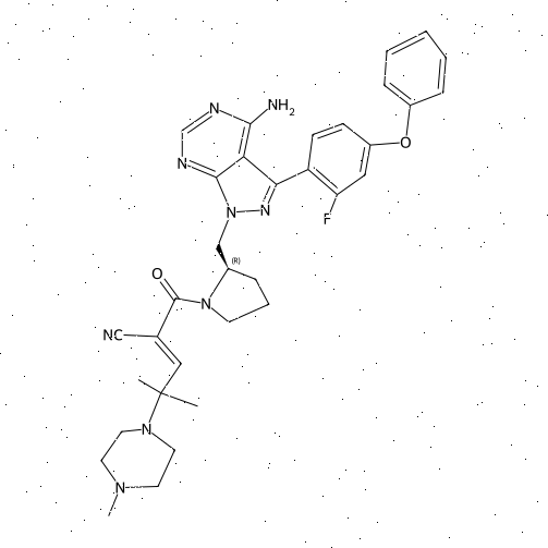 CN1CCN(C(C)(C)C=C(C#N)C(=O)N2CCC[C@@H]2Cn2nc(-c3ccc(Oc4ccccc4)cc3F)c3c(N)ncnc32)CC1